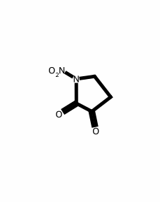 O=C1CCN([N+](=O)[O-])C1=O